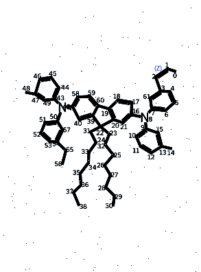 C/C=C\c1cccc(N(c2cccc(C)c2)c2ccc3c(c2)C(CCCCCCCC)(CCCCCCCC)c2cc(N(c4cccc(C)c4)c4cccc(CC)c4)ccc2-3)c1